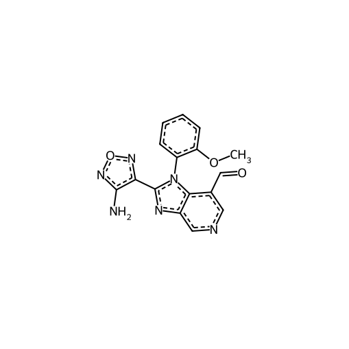 COc1ccccc1-n1c(-c2nonc2N)nc2cncc(C=O)c21